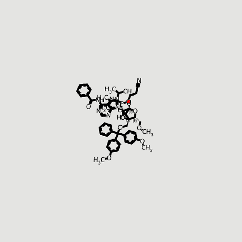 COC[C@H]1O[C@H]2[C@H](n3cnc4c(NC(=O)c5ccccc5)ncnc43)O[C@]1(COC(c1ccccc1)(c1ccc(OC)cc1)c1ccc(OC)cc1)[C@H]2OP(OCCC#N)N(C(C)C)C(C)C